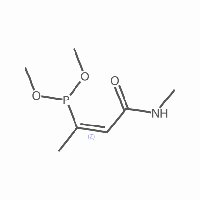 CNC(=O)/C=C(/C)P(OC)OC